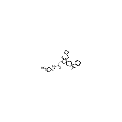 CN(C)C1(c2ccccc2)CCC2(CC1)CN(CC(=O)NC[C@H]1CC[C@@H](O)C1)C(=O)N2CC1CCC1